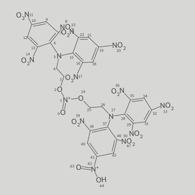 O=[N+](OCCN(c1c([N+](=O)[O-])cc([N+](=O)[O-])cc1[N+](=O)[O-])c1c([N+](=O)[O-])cc([N+](=O)[O-])cc1[N+](=O)[O-])OCCN(c1c([N+](=O)[O-])cc([N+](=O)[O-])cc1[N+](=O)[O-])c1c([N+](=O)[O-])cc([N+](=O)O)cc1[N+](=O)[O-]